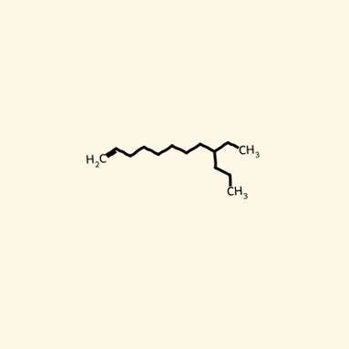 C=CCCCCCCC(CC)CCC